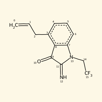 C=CCc1cccc2c1C(=O)C(=N)N2CC(F)(F)F